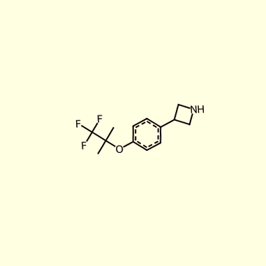 CC(C)(Oc1ccc(C2CNC2)cc1)C(F)(F)F